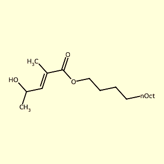 CCCCCCCCCCCCOC(=O)C(C)=CC(C)O